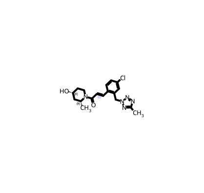 Cc1nnn(Cc2cc(Cl)ccc2/C=C/C(=O)N2CC[C@@H](O)C[C@H]2C)n1